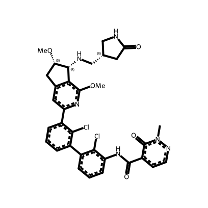 COc1nc(-c2cccc(-c3cccc(NC(=O)c4ccnn(C)c4=O)c3Cl)c2Cl)cc2c1[C@@H](NC[C@@H]1CNC(=O)C1)[C@@H](OC)C2